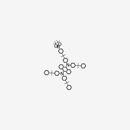 CC(C)(c1ccccc1)c1ccc(N(c2ccc(C(C)(C)c3ccccc3)cc2)c2c3ccccc3c(N(c3ccc(C(C)(C)c4ccccc4)cc3)c3ccc(C(C)(C)c4ccc(B5OC(C)(C)C(C)(C)O5)cc4)cc3)c3ccccc23)cc1